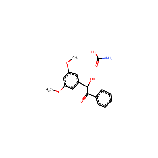 COc1cc(OC)cc(C(O)C(=O)c2ccccc2)c1.NC(=O)O